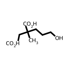 CC(CCCO)(CC(=O)O)C(=O)O